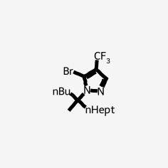 CCCCCCCC(C)(CCCC)n1ncc(C(F)(F)F)c1Br